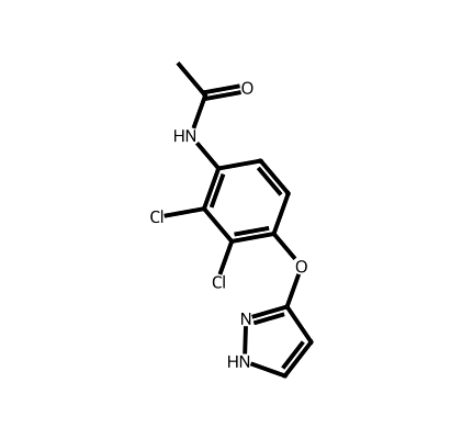 CC(=O)Nc1ccc(Oc2cc[nH]n2)c(Cl)c1Cl